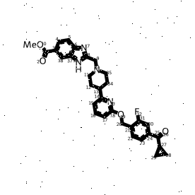 COC(=O)c1ccc2nc(CN3CCC(c4cccc(OCc5ccc(C(=O)C6CC6)cc5F)n4)CC3)[nH]c2c1